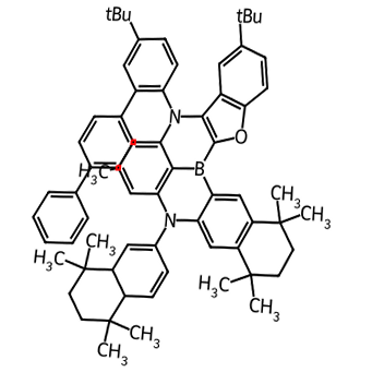 Cc1cc2c3c(c1)N(c1ccc(C(C)(C)C)cc1-c1ccc(-c4ccccc4)cc1)c1c(oc4ccc(C(C)(C)C)cc14)B3c1cc3c(cc1N2C1=CC2C(C=C1)C(C)(C)CCC2(C)C)C(C)(C)CCC3(C)C